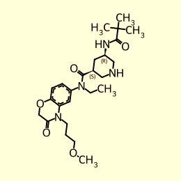 CCN(C(=O)[C@@H]1CNC[C@H](NC(=O)C(C)(C)C)C1)c1ccc2c(c1)N(CCCOC)C(=O)CO2